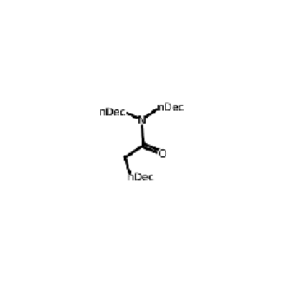 CCCCCCCCCCCC(=O)N(CCCCCCCCCC)CCCCCCCCCC